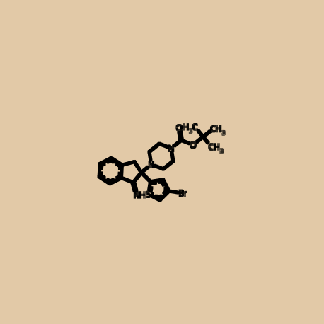 CC(C)(C)OC(=O)N1CCN(C2(c3cc(Br)cs3)Cc3ccccc3C2=N)CC1